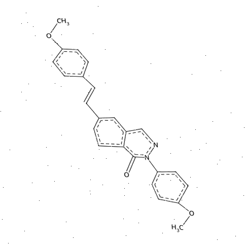 COc1ccc(C=Cc2ccc3c(=O)n(-c4ccc(OC)cc4)ncc3c2)cc1